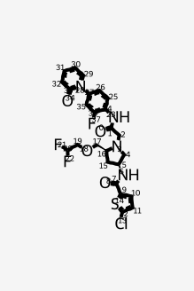 O=C(CN1C[C@H](NC(=O)c2ccc(Cl)s2)C[C@H]1COCC(F)F)Nc1ccc(-n2ccccc2=O)cc1F